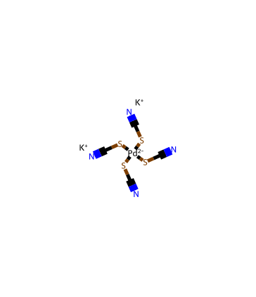 N#C[S][Pd-2]([S]C#N)([S]C#N)[S]C#N.[K+].[K+]